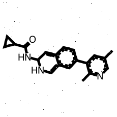 Cc1cnc(C)c(-c2ccc3c(c2)=CNC(NC(=O)C2CC2)C=3)c1